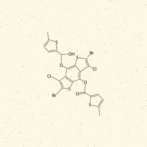 Cc1ccc(C(=O)Oc2c3sc(Br)c(Cl)c3c(OC(O)c3ccc(C)s3)c3sc(Br)c(Cl)c23)s1